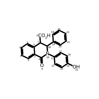 O=C(O)C1c2ccccc2C(=O)N(c2ccc(O)cc2)C1c1ccccc1